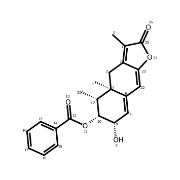 CC1=C2C[C@@]3(C)C(=C[C@H](O)[C@H](OC(=O)c4ccccc4)[C@@H]3C)C=C2OC1=O